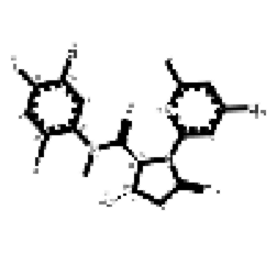 Cc1cc(C(F)(F)F)cc(N2C(=O)C[C@H](O)[C@H]2C(=O)N(C)c2cc(Cl)c(F)cc2F)n1